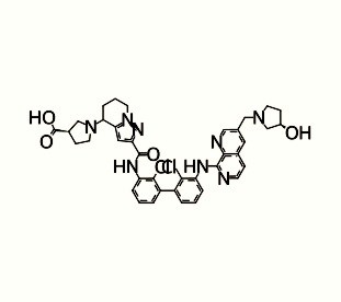 O=C(Nc1cccc(-c2cccc(Nc3nccc4cc(CN5CC[C@@H](O)C5)cnc34)c2Cl)c1Cl)c1cc2n(n1)CCCC2N1CC[C@@H](C(=O)O)C1